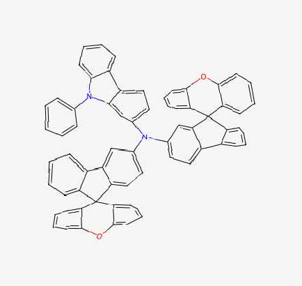 c1ccc(-n2c3ccccc3c3ccc(N(c4ccc5c(c4)-c4ccccc4C54c5ccccc5Oc5ccccc54)c4ccc5c(c4)C4(c6ccccc6Oc6ccccc64)c4ccccc4-5)cc32)cc1